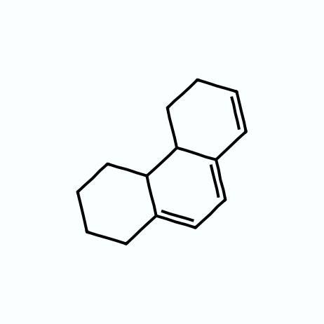 C1=CC2=CC=C3CCCCC3C2CC1